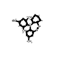 Cc1ccc2c(c1)N=Nc1ccccc1N2c1c(C)cc(C(C)(C)C)cc1C